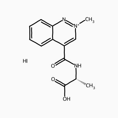 C[C@@H](NC(=O)c1c[n+](C)nc2ccccc12)C(=O)O.I